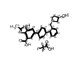 Cc1nc2c(C(=O)O)cc(-c3ccc(-c4ccccc4CN4CC[C@@H](O)C4)cc3)cc2[nH]1.O=C(O)C(F)(F)F